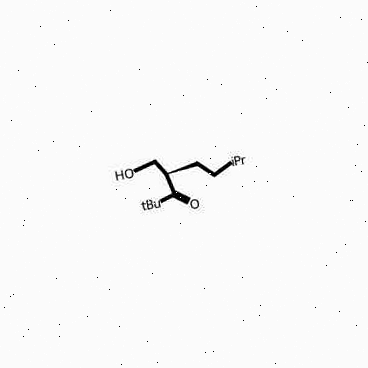 CC(C)CC[C@H](CO)C(=O)C(C)(C)C